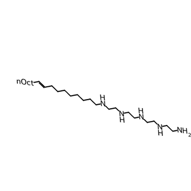 CCCCCCCCC=CCCCCCCCCNCCNCCNCCNCCN